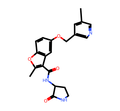 Cc1cncc(COc2ccc3oc(C)c(C(=O)NC4CCNC4=O)c3c2)c1